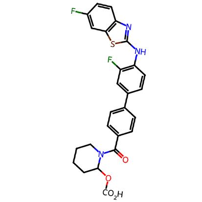 O=C(O)OC1CCCCN1C(=O)c1ccc(-c2ccc(Nc3nc4ccc(F)cc4s3)c(F)c2)cc1